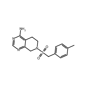 Cc1ccc(CS(=O)(=O)N2CCc3c(N)ncnc3C2)cc1